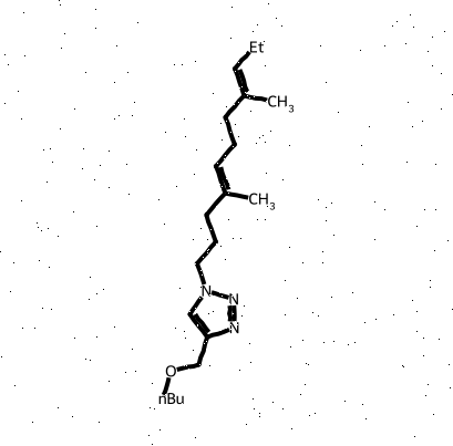 CC/C=C(\C)CC/C=C(\C)CCCn1cc(COCCCC)nn1